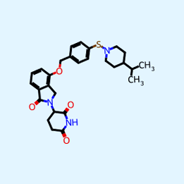 CC(C)C1CCN(Sc2ccc(COc3cccc4c3CN(C3CCC(=O)NC3=O)C4=O)cc2)CC1